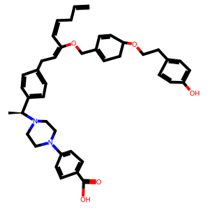 C=CC/C=C\C(=C/Cc1ccc([C@H](C)N2CCN(c3ccc(C(=O)O)cc3)CC2)cc1)OCC1=CCC(OCCc2ccc(O)cc2)C=C1